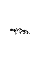 CC(C)(C)OC(=O)Nc1ccc(C2=CC3=CC[C@@H]2CC[C@@H]2C=CC(=C(c4ccc(NC(=O)OC(C)(C)C)cc4)C2)CC3)cc1